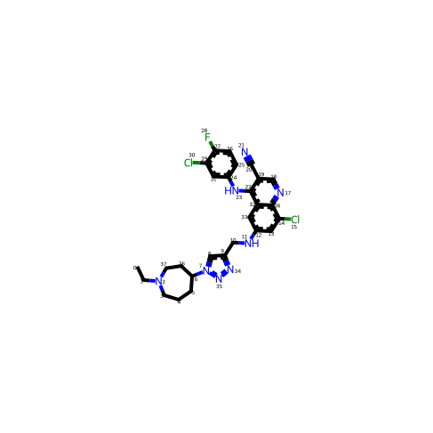 CCN1CCCC(n2cc(CNc3cc(Cl)c4ncc(C#N)c(Nc5ccc(F)c(Cl)c5)c4c3)nn2)CC1